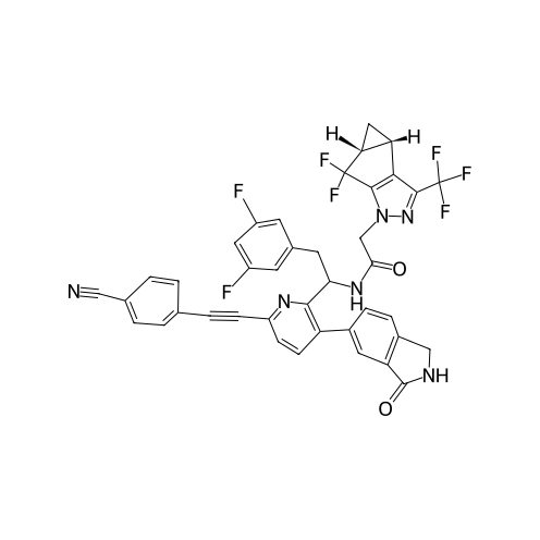 N#Cc1ccc(C#Cc2ccc(-c3ccc4c(c3)C(=O)NC4)c(C(Cc3cc(F)cc(F)c3)NC(=O)Cn3nc(C(F)(F)F)c4c3C(F)(F)[C@@H]3C[C@H]43)n2)cc1